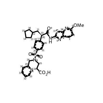 COc1ccc2nc(NC(=O)[C@H](CC3CCCC3)c3ccc(S(=O)(=O)N(CCC(=O)O)Cc4ccccn4)cc3)sc2n1